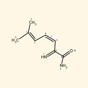 CC(C)=C/C=C\C(=N)C(N)=O